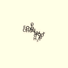 COc1cc(C(=O)NCC(F)(CO)c2ccc(C=O)c(-c3ccc(F)c(Cl)c3)n2)ccc1OC1CC1